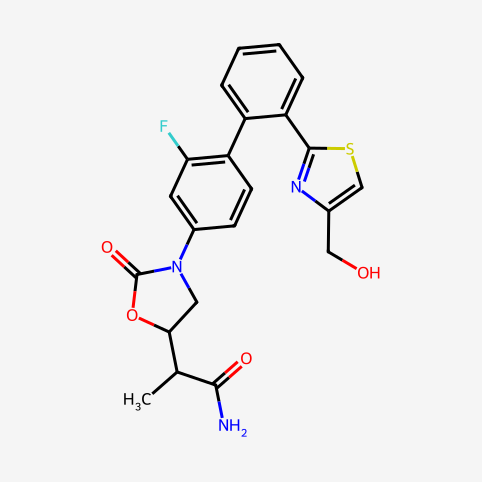 CC(C(N)=O)C1CN(c2ccc(-c3ccccc3-c3nc(CO)cs3)c(F)c2)C(=O)O1